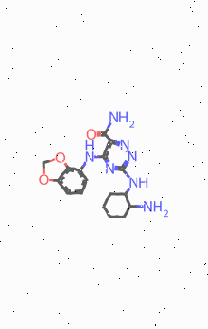 NC(=O)c1nnc(NC2CCCCC2N)nc1Nc1cccc2c1OCO2